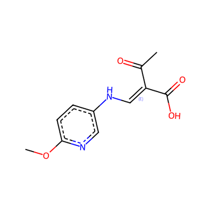 COc1ccc(N/C=C(\C(C)=O)C(=O)O)cn1